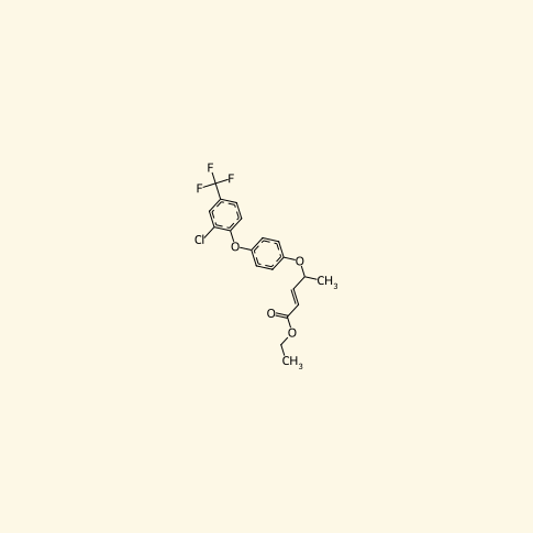 CCOC(=O)/C=C/C(C)Oc1ccc(Oc2ccc(C(F)(F)F)cc2Cl)cc1